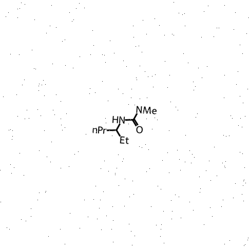 CCCC(CC)NC(=O)NC